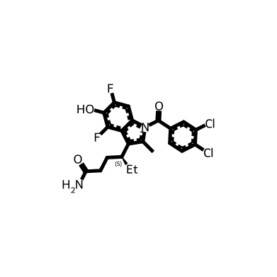 CC[C@@H](CCC(N)=O)c1c(C)n(C(=O)c2ccc(Cl)c(Cl)c2)c2cc(F)c(O)c(F)c12